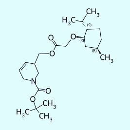 CC(C)[C@@H]1CC[C@@H](C)C[C@H]1OCC(=O)OCC1C=CCN(C(=O)OC(C)(C)C)C1